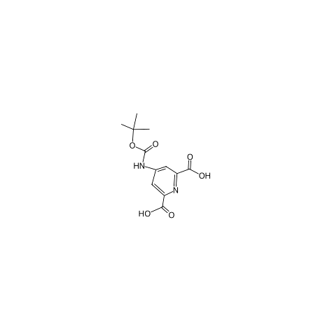 CC(C)(C)OC(=O)Nc1cc(C(=O)O)nc(C(=O)O)c1